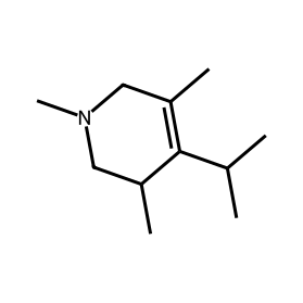 CC1=C(C(C)C)C(C)CN(C)C1